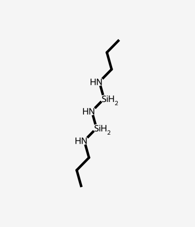 CCCN[SiH2]N[SiH2]NCCC